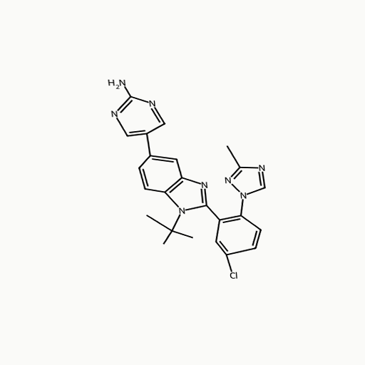 Cc1ncn(-c2ccc(Cl)cc2-c2nc3cc(-c4cnc(N)nc4)ccc3n2C(C)(C)C)n1